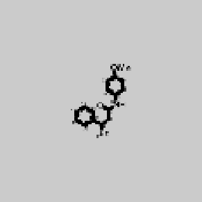 CCC(CC(=O)Nc1ccc(OC)cc1)c1ccccc1